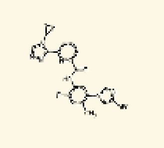 Cc1cc(F)c(NC(=O)c2cccc(-c3nncn3C3CC3)n2)cc1-n1cnc(C(C)C)c1